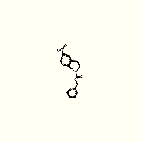 O=C(OCc1ccccc1)N1CCc2cc([N+](=O)[O-])cnc2C1